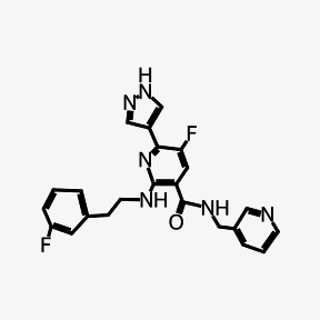 O=C(NCc1cccnc1)c1cc(F)c(-c2cn[nH]c2)nc1NCCc1cccc(F)c1